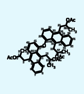 CC(=O)OC(C)Cc1c2ccccc2c(CC(C)OC(C)=O)c2c(Oc3cccc4c(CC(C)OC(C)=O)c5ccccc5c(CC(C)OC(C)=O)c34)cccc12